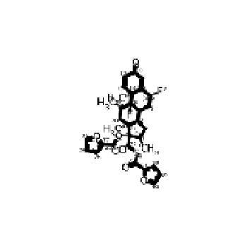 C[C@@H]1CC2C3C[C@H](F)C4=CC(=O)C=C[C@]4(C)[C@@]3(F)[C@@H](C)C[C@]2(C)[C@@]1(OC(=O)c1ccco1)C(=O)SC(=O)c1ccco1